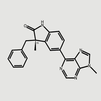 Cn1cnc2c(-c3ccc4c(c3)[C@](C)(Cc3ccccc3)C(=O)N4)ncnc21